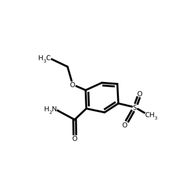 CCOc1ccc(S(C)(=O)=O)cc1C(N)=O